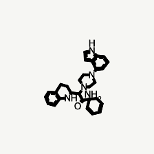 NC1(C(=O)C(C2CCc3ccccc3N2)N2CCN(c3cccc4[nH]ccc34)CC2)C=CC=CC1